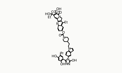 CCc1c2c(nc3ccc(OC(=O)N4CCC(CCn5ccc6cc(-n7c(O)nnc7-c7cc(C(C)C)c(O)cc7O)ccc65)CC4)cc13)-c1cc(C(O)(CC)C(=O)O)c(CO)c(=O)n1C2